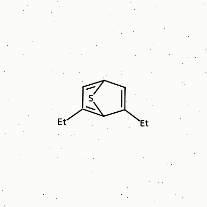 CCc1cc2cc(CC)c1s2